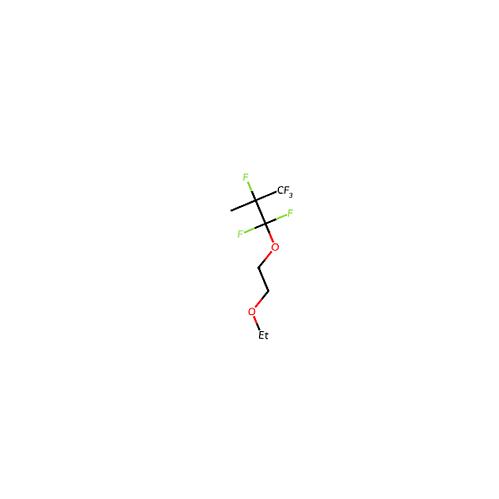 CCOCCOC(F)(F)C(C)(F)C(F)(F)F